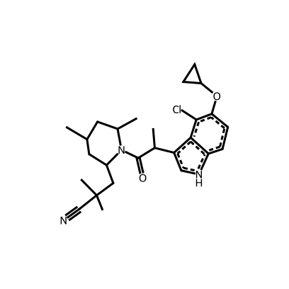 CC1CC(C)N(C(=O)C(C)c2c[nH]c3ccc(OC4CC4)c(Cl)c23)C(CC(C)(C)C#N)C1